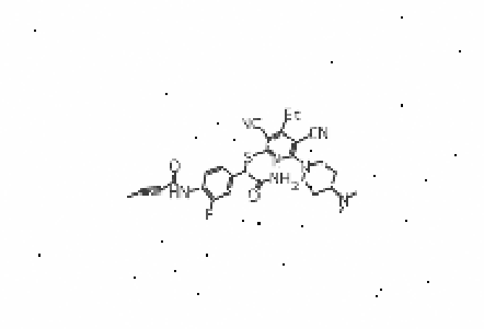 CC#CC(=O)Nc1ccc(C(Sc2nc(N3CCC(N(C)C)CC3)c(C#N)c(CC)c2C#N)C(N)=O)cc1F